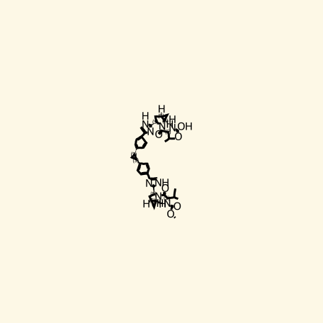 COC(=O)N[C@H](C(=O)N1[C@@H]2C[C@H]2C[C@H]1c1nc(-c2ccc([C@H]3C[C@@H]3c3ccc(-c4c[nH]c([C@@H]5C[C@H]6C[C@H]6N5C(=O)[C@@H](NC(=O)O)C(C)C)n4)cc3)cc2)c[nH]1)C(C)C